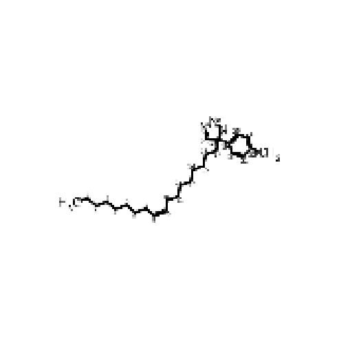 CCCCCCCC/C=C\CCCCCCCCC1(c2ccc(C)cc2)C=NN=N1